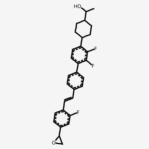 CC(O)C1CCC(c2ccc(-c3ccc(/C=C/c4ccc(C5CO5)cc4F)cc3)c(F)c2F)CC1